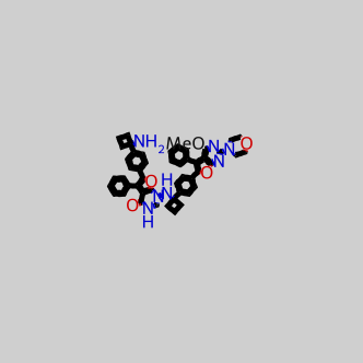 COc1nc(N2CCOCC2)nc2oc(-c3ccc(C4(NN5CNC(=O)c6c5oc(-c5ccc(C7(N)CCC7)cc5)c6-c5ccccc5)CCC4)cc3)c(-c3ccccc3)c12